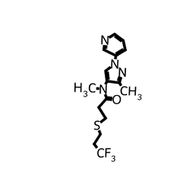 Cc1nn(-c2cccnc2)cc1N(C)C(=O)CCSCCC(F)(F)F